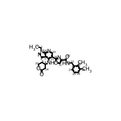 CCn1ncc2c(NC3CCOC(=O)C3)c(-c3nc(C(=O)NCc4cccc(C)c4C)co3)cnc21